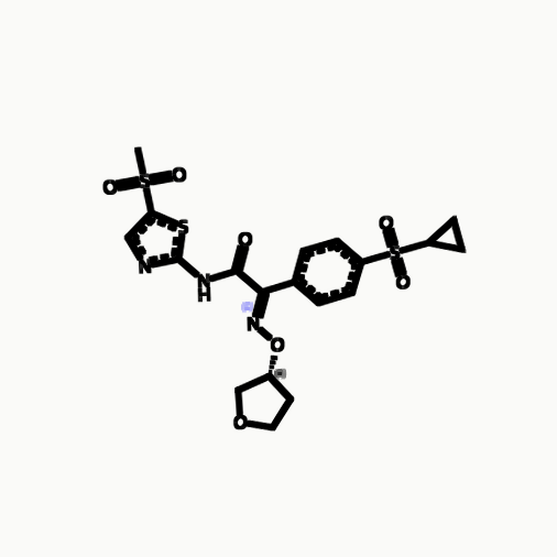 CS(=O)(=O)c1cnc(NC(=O)/C(=N/O[C@@H]2CCOC2)c2ccc(S(=O)(=O)C3CC3)cc2)s1